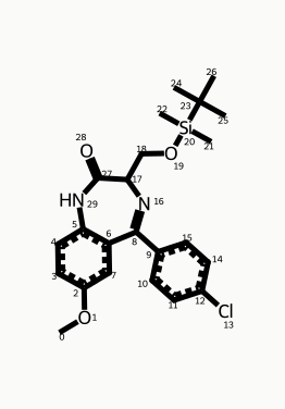 COc1ccc2c(c1)C(c1ccc(Cl)cc1)=NC(CO[Si](C)(C)C(C)(C)C)C(=O)N2